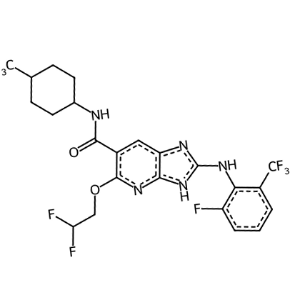 O=C(NC1CCC(C(F)(F)F)CC1)c1cc2nc(Nc3c(F)cccc3C(F)(F)F)[nH]c2nc1OCC(F)F